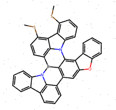 CSc1cccc2c1c1c(SC)ccc3c1n2-c1c2c(cc4oc5ccccc5c14)-c1cccc4c5ccccc5n(c14)B23